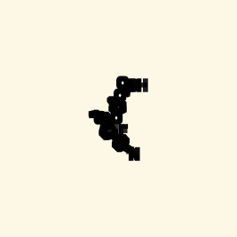 CCOCC(Oc1ccc(OCC(=O)O)c(C)c1)c1cccc(-c2ccc(C#N)cc2F)n1